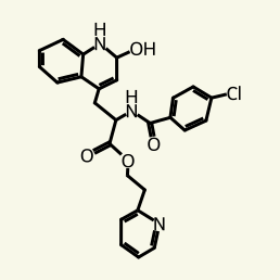 O=C(NC(CC1=CC(O)Nc2ccccc21)C(=O)OCCc1ccccn1)c1ccc(Cl)cc1